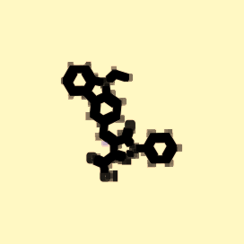 CCn1c2ccccc2c2cc(/C=C3\C(=O)N(c4ccccc4)N=C3C(=O)O)ccc21